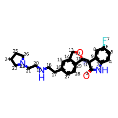 O=C1Nc2ccc(F)cc2/C1=C1\OCc2cc(CCNCCN3CCCC3)ccc21